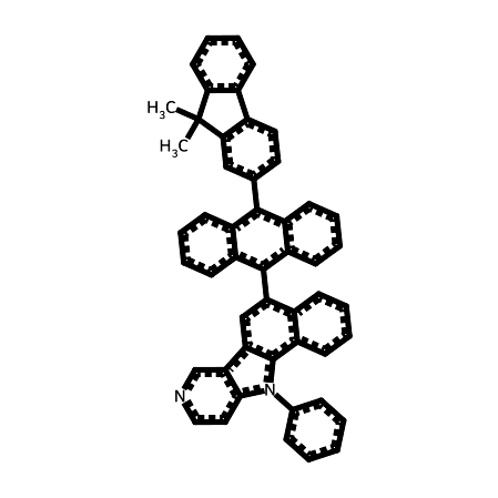 CC1(C)c2ccccc2-c2ccc(-c3c4ccccc4c(-c4cc5c6cnccc6n(-c6ccccc6)c5c5ccccc45)c4ccccc34)cc21